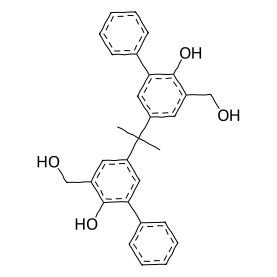 CC(C)(c1cc(CO)c(O)c(-c2ccccc2)c1)c1cc(CO)c(O)c(-c2ccccc2)c1